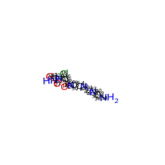 CC1(CN2CCC3(CC2)CCN(C(=O)c2ccc(Cl)c(N4CCC(=O)NC4=O)c2)CC3)CCN(c2ccc(N)cc2)CC1